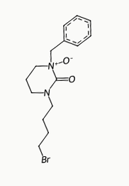 O=C1N(CCCCBr)CCC[N+]1([O-])Cc1ccccc1